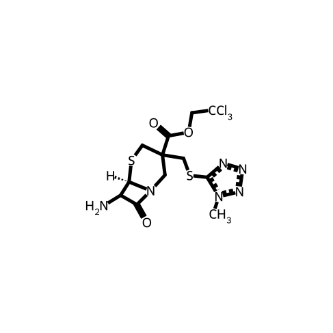 Cn1nnnc1SCC1(C(=O)OCC(Cl)(Cl)Cl)CS[C@@H]2C(N)C(=O)N2C1